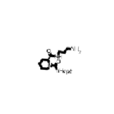 CCCCCCCC(=O)N1CCCC[C@H]1C(=O)NCCCN